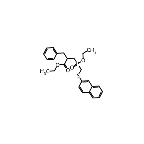 CCOC(=O)C(Cc1ccccc1)CP(=O)(CSc1ccc2ccccc2c1)OCC